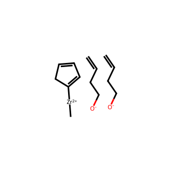 C=CCC[O-].C=CCC[O-].[CH3][Zr+2][C]1=CC=CC1